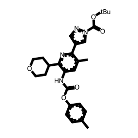 Cc1ccc(OC(=O)Nc2cc(C)c(-c3cnn(C(=O)OC(C)(C)C)c3)nc2C2CCOCC2)cc1